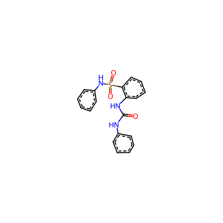 O=C(Nc1ccccc1)Nc1ccccc1S(=O)(=O)Nc1ccccc1